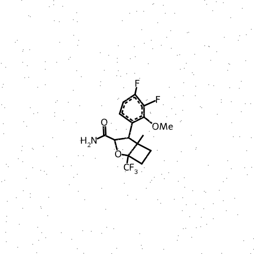 COc1c(C2C(C(N)=O)OC3(C(F)(F)F)CCC23C)ccc(F)c1F